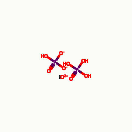 O=P(O)(O)O.O=P([O-])([O-])O.[O+2]